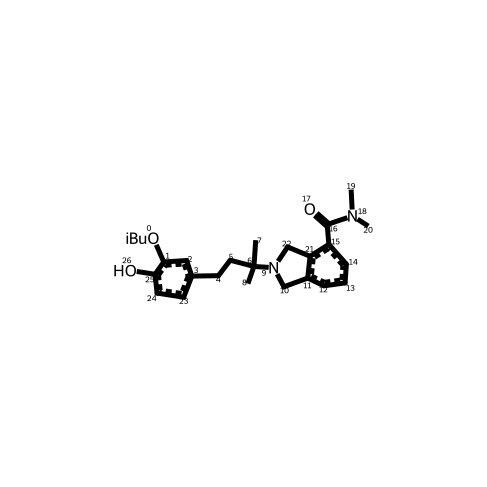 CC(C)COc1cc(CCC(C)(C)N2Cc3cccc(C(=O)N(C)C)c3C2)ccc1O